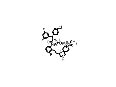 COC(=O)N[C@H](C(=O)Nc1cccc(F)c1CC[C@@H]1CNCC2(CCN(S(C)(=O)=O)CC2)O1)[C@@H](c1ccc(Cl)cc1)c1cc(F)cc(F)c1